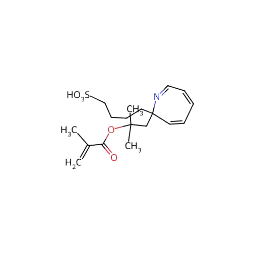 C=C(C)C(=O)OC(C)(C)CC1(CCCCS(=O)(=O)O)C=CC=CC=N1